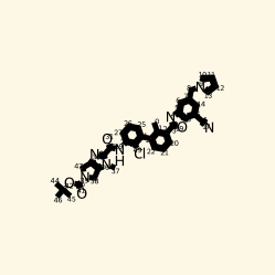 Cc1c(-c2nc3cc(Cn4cccc4)cc(C#N)c3o2)cccc1-c1cccc(NC(=O)c2nc3c(n2C)CN(C(=O)OC(C)(C)C)C3)c1Cl